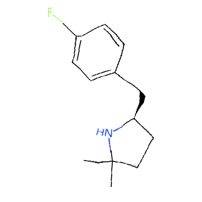 CC1(C)CC[C@H](Cc2ccc(F)cc2)N1